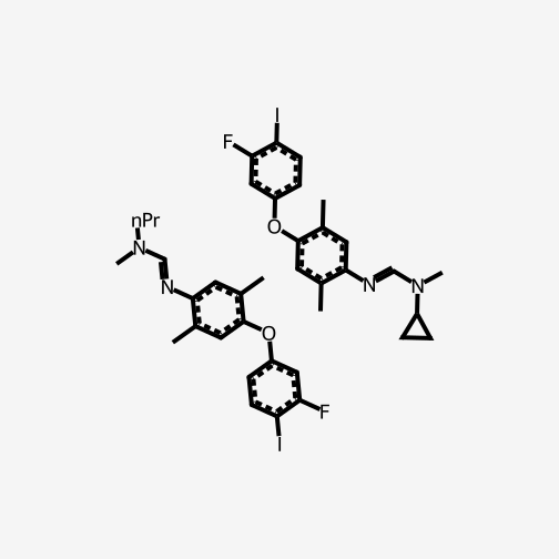 CCCN(C)C=Nc1cc(C)c(Oc2ccc(I)c(F)c2)cc1C.Cc1cc(Oc2ccc(I)c(F)c2)c(C)cc1N=CN(C)C1CC1